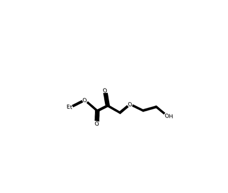 CCOC(=O)C(=O)COCCO